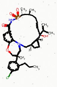 CCCc1cc(Cl)ccc1[C@]1(C)COc2ccc3cc2N(C[C@@H]2CC[C@H]2[C@@](O)(C(C)C)/C=C/C[C@H](C)[C@@H](C)S(=O)(=O)NC3=O)C1